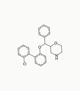 Clc1ccccc1-c1ccccc1OC(c1ccccc1)C1CNCCO1